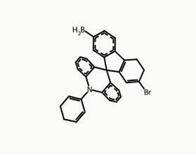 Bc1ccc2c(c1)C1(C3=C2CCC(Br)=C3)c2ccccc2N(C2=CCCC=C2)c2ccccc21